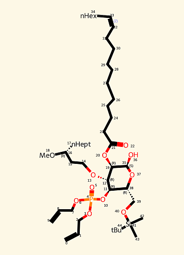 C=CCOP(=O)(OCC=C)O[C@H]1[C@H](OCC[C@@H](CCCCCCC)OC)[C@@H](OC(=O)CCCCCCCCC/C=C\CCCCCC)[C@@H](O)O[C@@H]1CO[Si](C)(C)C(C)(C)C